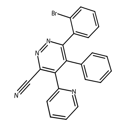 N#Cc1nnc(-c2ccccc2Br)c(-c2ccccc2)c1-c1ccccn1